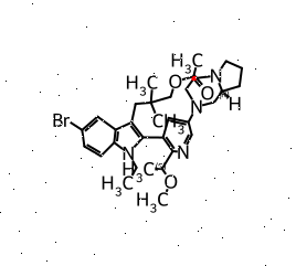 CCn1c(-c2cc(N3CCN4CCC[C@@H]4C3)cnc2[C@H](C)OC)c(CC(C)(C)COC(C)=O)c2cc(Br)ccc21